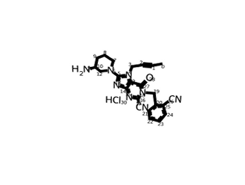 CC#CCn1c(N2CCCC(N)C2)nc2nc(C#N)n(Cc3ccccc3C#N)c(=O)c21.Cl